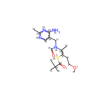 COCC/C(SC(=O)C(C)(C)C)=C(\C)N(C=O)Cc1cnc(C)nc1N